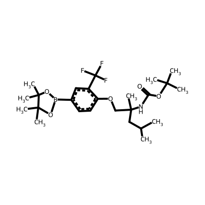 CC(C)CC(C)(COc1ccc(B2OC(C)(C)C(C)(C)O2)cc1C(F)(F)F)NC(=O)OC(C)(C)C